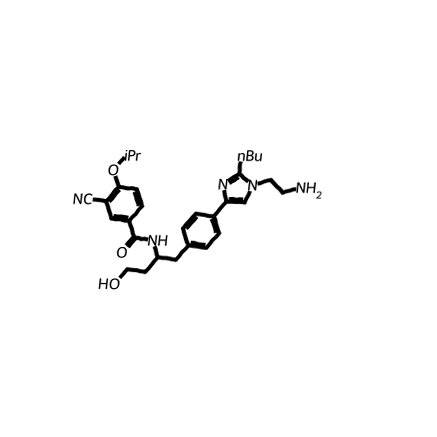 CCCCc1nc(-c2ccc(CC(CCO)NC(=O)c3ccc(OC(C)C)c(C#N)c3)cc2)cn1CCN